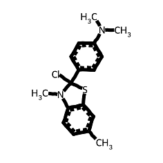 Cc1ccc2c(c1)SC(Cl)(c1ccc(N(C)C)cc1)N2C